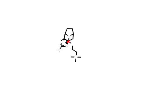 C[Si](C)(C)CCOC(=O)N1C2CCC1c1sc(N)nc1C2